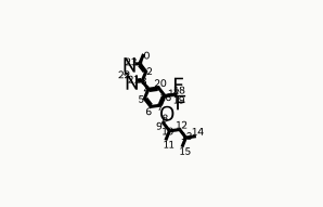 Cc1cc(-c2ccc(OCC(C)CC(C)C)c(C(F)F)c2)ncn1